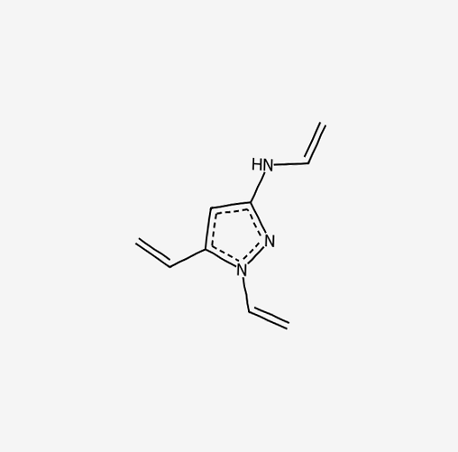 C=CNc1cc(C=C)n(C=C)n1